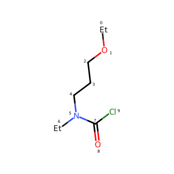 CCOCCCN(CC)C(=O)Cl